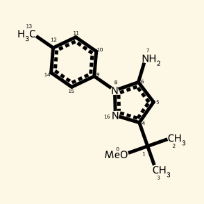 COC(C)(C)c1cc(N)n(-c2ccc(C)cc2)n1